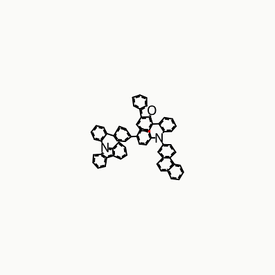 c1ccc(N(c2ccc(-c3ccc(-c4ccccc4-n4c5ccccc5c5ccccc54)cc3)cc2)c2ccc3c(ccc4ccccc43)c2)c(-c2cccc3c2oc2ccccc23)c1